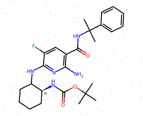 CC(C)(C)OC(=O)N[C@H]1CCCCC1Nc1nc(N)c(C(=O)NC(C)(C)c2ccccc2)cc1F